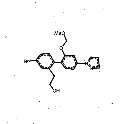 COCOc1cc(-n2cccn2)ccc1-c1ccc(Br)cc1CCO